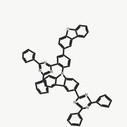 c1ccc(-c2nc(-c3ccccc3)nc(-c3ccc4c(c3)c3ccccc3n4-c3ccc(-c4ccc5oc6ccccc6c5c4)cc3-c3nc(-c4ccccc4)nc(-c4ccccc4)n3)n2)cc1